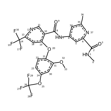 CNC(=O)c1cc(NC(=O)c2cnc(C(F)(F)F)cc2Oc2ccc(OC(F)(F)F)cc2OC)cc(C)n1